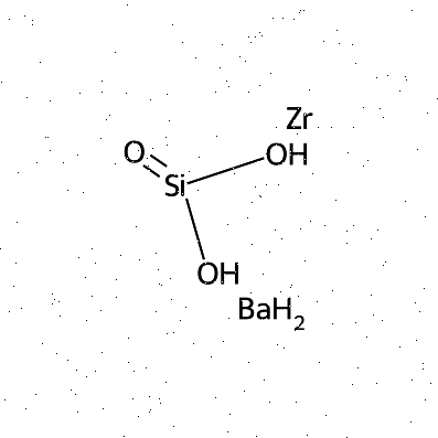 O=[Si](O)O.[BaH2].[Zr]